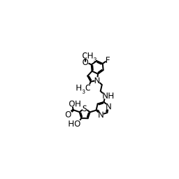 COc1cc(F)cc2c1cc(C)n2CCNc1cc(-c2cc(O)c(C(=O)O)s2)ncn1